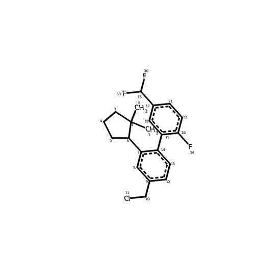 CC1(C)CCCC1c1cc(CCl)ccc1-c1cc(C(F)F)ccc1F